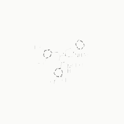 CC(=O)NC1(c2ccccc2)CCN(C(Cc2cc(C(F)(F)F)cc(C(F)(F)F)c2)CC(CNC=O)c2ccc(Cl)c(Cl)c2)CC1